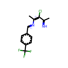 CC(=N)/C(Cl)=C(C)\N=C\c1ccc(C(F)(F)F)cc1